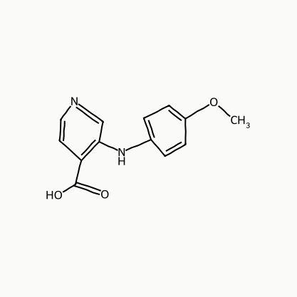 COc1ccc(Nc2cnccc2C(=O)O)cc1